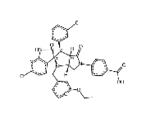 CCOc1cccc(CN2[C@H]3CN(c4ccc(C(=O)O)cc4)C(=O)[C@H]3[C@H](c3cccc(Cl)c3)[C@]23C(=O)Nc2nc(Cl)ccc23)c1